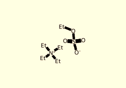 CCOS(=O)(=O)[O-].CC[N+](CC)(CC)CC